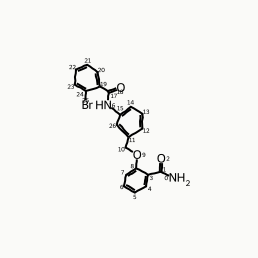 NC(=O)c1ccccc1OCc1cccc(NC(=O)c2ccccc2Br)c1